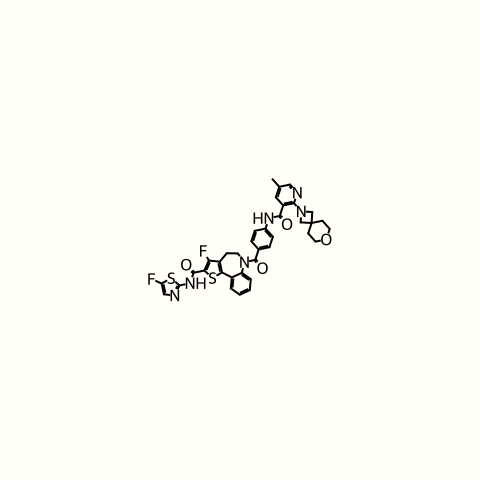 Cc1cnc(N2CC3(CCOCC3)C2)c(C(=O)Nc2ccc(C(=O)N3CCc4c(sc(C(=O)Nc5ncc(F)s5)c4F)-c4ccccc43)cc2)c1